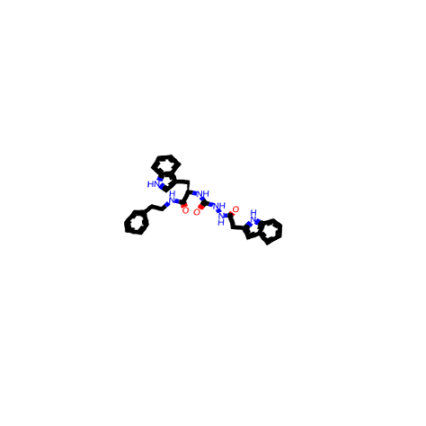 O=C(Cc1cc2ccccc2[nH]1)NNC(=O)N[C@H](Cc1c[nH]c2ccccc12)C(=O)NCCc1ccccc1